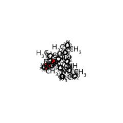 Cc1cc(C)c(N2c3cc4c(cc3B3c5ccccc5N(c5ccccc5)c5cc(-c6c(C)cccc6C)cc2c53)B2c3cc5c(cc3Oc3cc(-c6c(C)cccc6C)cc(c32)O4)Nc2cc(-c3c(C)cccc3C)cc3c2B5c2ccccc2N3c2ccccc2)c(C)c1